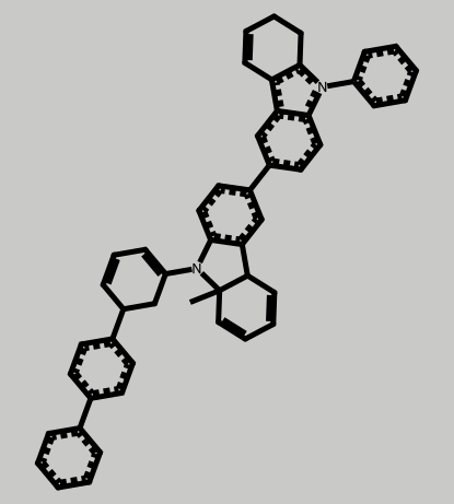 CC12C=CC=CC1c1cc(-c3ccc4c(c3)c3c(n4-c4ccccc4)CCC=C3)ccc1N2C1=CC=CC(c2ccc(-c3ccccc3)cc2)C1